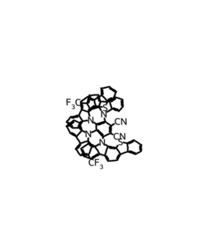 N#Cc1c(C#N)c(-n2c3ccccc3c3ccc4c5ccccc5sc4c32)c(-n2c3ccccc3c3ccc(C(F)(F)F)cc32)c(-n2c3ccccc3c3ccc4c5ccccc5sc4c32)c1-n1c2ccccc2c2ccc(C(F)(F)F)cc21